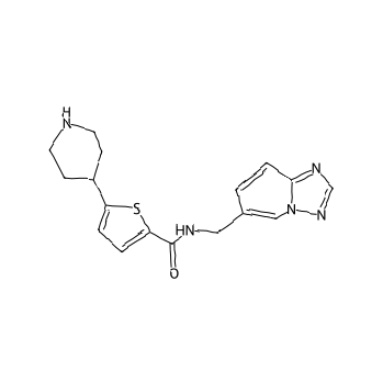 O=C(NCc1ccc2ncnn2c1)c1ccc(C2CCNCC2)s1